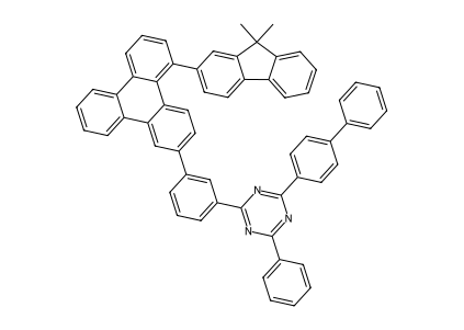 CC1(C)c2ccccc2-c2ccc(-c3cccc4c5ccccc5c5cc(-c6cccc(-c7nc(-c8ccccc8)nc(-c8ccc(-c9ccccc9)cc8)n7)c6)ccc5c34)cc21